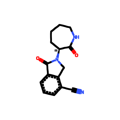 N#Cc1cccc2c1CN([C@H]1CCCCNC1=O)C2=O